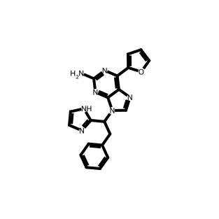 Nc1nc(-c2ccco2)c2ncn(C(Cc3ccccc3)c3ncc[nH]3)c2n1